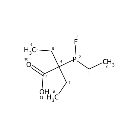 CCP(F)C(CC)(CC)C(=O)O